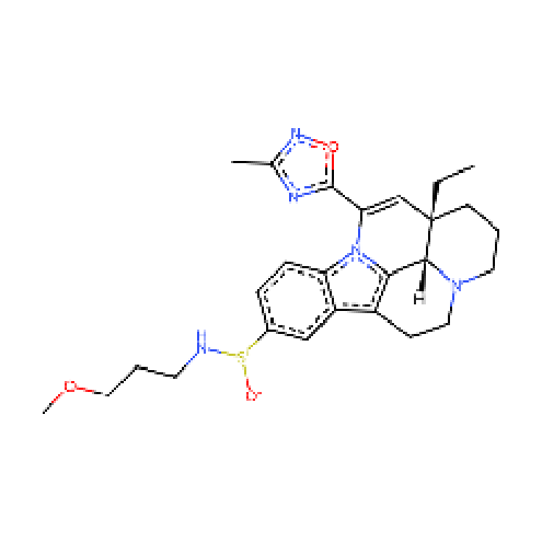 CC[C@@]12C=C(c3nc(C)no3)n3c4c(c5cc([S+]([O-])NCCCOC)ccc53)CCN(CCC1)[C@H]42